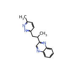 Cc1ccc(CC(C)c2cnc3ccccc3n2)nn1